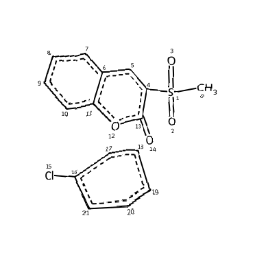 CS(=O)(=O)c1cc2ccccc2oc1=O.Clc1ccccc1